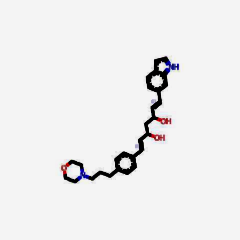 OC(/C=C/c1ccc(CCCN2CCOCC2)cc1)CC(O)/C=C/c1ccc2cc[nH]c2c1